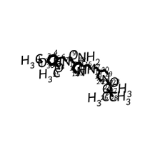 COc1ccc(CNC(=O)c2ccnc(CNCC3CCN(C(=O)OC(C)(C)C)CC3)c2N)c(OC)c1